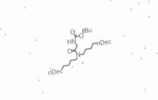 CCCCCCCCCCCCCCN(CCCCCCCCCCCCCC)C(=O)CNC(=O)OC(C)(C)C